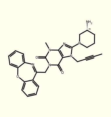 CC#CCn1c(N2CCC[C@@H](N)C2)nc2c1c(=O)n(CC1=Nc3ccccc3Oc3ccccc31)c(=O)n2C